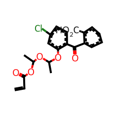 C=CC(=O)OC(C)OC(C)Oc1cc(Cl)ccc1C(=O)c1ccccc1C(=O)O